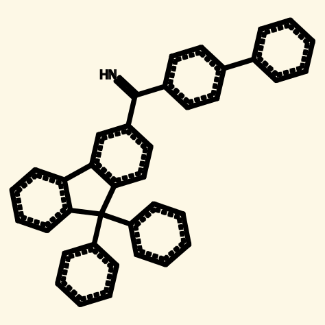 N=C(c1ccc(-c2ccccc2)cc1)c1ccc2c(c1)-c1ccccc1C2(c1ccccc1)c1ccccc1